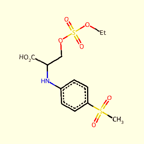 CCOS(=O)(=O)OCC(Nc1ccc(S(C)(=O)=O)cc1)C(=O)O